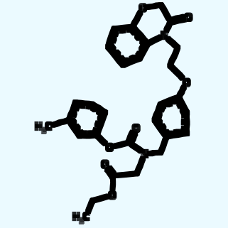 CCOC(=O)CN(Cc1ccc(OCCN2C(=O)COc3ccccc32)cc1)C(=O)Oc1cccc(C)c1